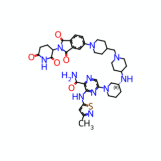 Cc1cc(Nc2nc(N3CCC[C@@H](NC4CCN(CC5CCN(c6ccc7c(c6)C(=O)N(C6CCC(=O)NC6=O)C7=O)CC5)CC4)C3)cnc2C(N)=O)sn1